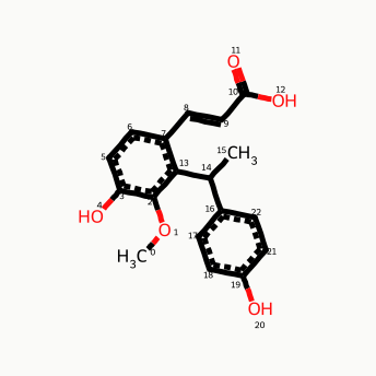 COc1c(O)ccc(C=CC(=O)O)c1C(C)c1ccc(O)cc1